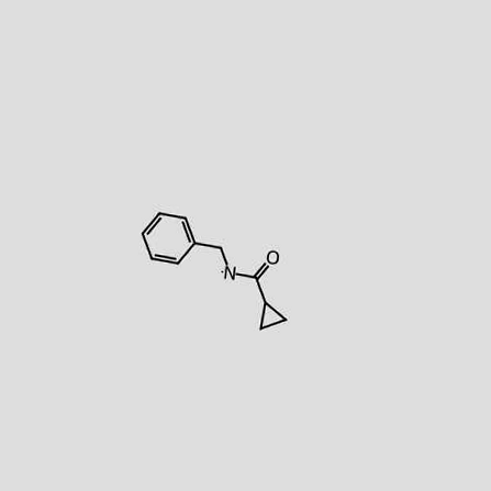 O=C([N]Cc1ccccc1)C1CC1